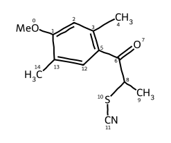 COc1cc(C)c(C(=O)C(C)SC#N)cc1C